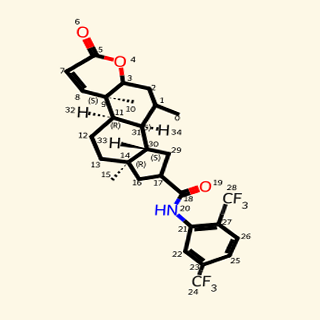 CC1CC2OC(=O)C=C[C@]2(C)[C@@H]2CC[C@]3(C)CC(C(=O)Nc4cc(C(F)(F)F)ccc4C(F)(F)F)C[C@H]3[C@H]12